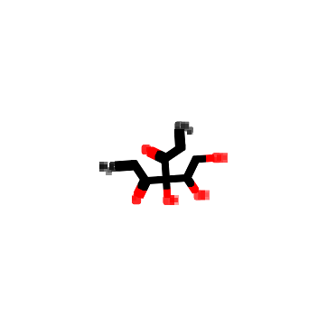 C=CC(=O)C(O)(C(=O)C=C)C(O)CO